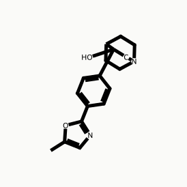 Cc1cnc(-c2ccc(C3(O)CN4CCC3CC4)cc2)o1